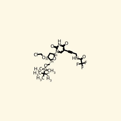 CC(C)(C)[Si](C)(C)OC[C@H]1O[C@@H](n2cc(C#CCNC(=O)C(F)(F)F)c(=O)[nH]c2=O)C[C@H]1OCCl